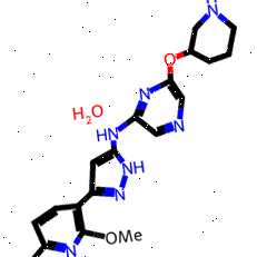 COc1nc(C)ccc1-c1cc(Nc2cncc(OC3CCCNC3)n2)[nH]n1.O